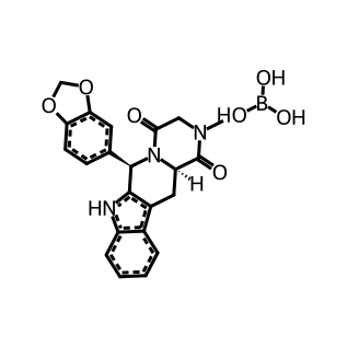 CN1CC(=O)N2[C@H](c3ccc4c(c3)OCO4)c3[nH]c4ccccc4c3C[C@@H]2C1=O.OB(O)O